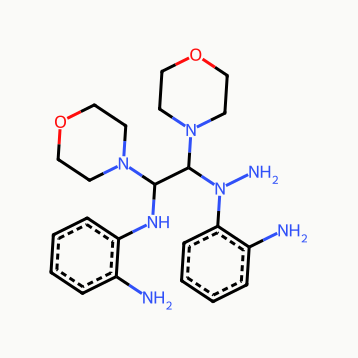 Nc1ccccc1NC(C(N1CCOCC1)N(N)c1ccccc1N)N1CCOCC1